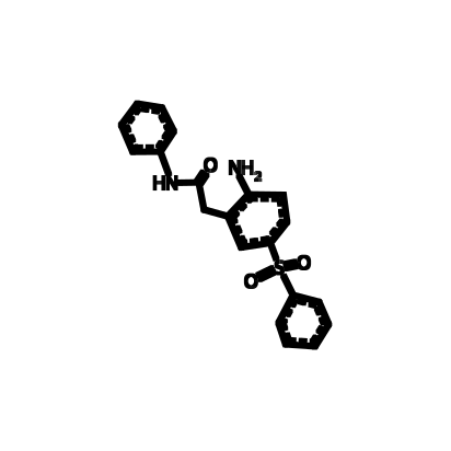 Nc1ccc(S(=O)(=O)c2ccccc2)cc1CC(=O)Nc1ccccc1